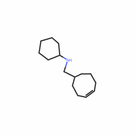 C1=CCCC(CNC2CCCCC2)CCC1